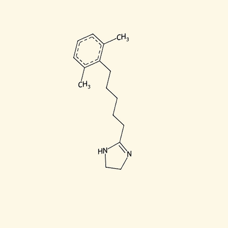 Cc1cccc(C)c1CCCCCC1=NCCN1